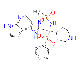 CS(=O)(=O)NC(c1nc2cnc3[nH]ccc3c2[nH]1)(C1CCNCC1)S(=O)(=O)c1ccccc1